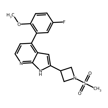 COc1ccc(F)cc1-c1ccnc2[nH]c(C3CN(S(C)(=O)=O)C3)cc12